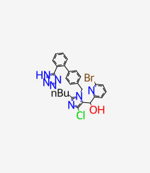 CCCCc1nc(Cl)c(C(O)c2cccc(Br)n2)n1Cc1ccc(-c2ccccc2-c2nnn[nH]2)cc1